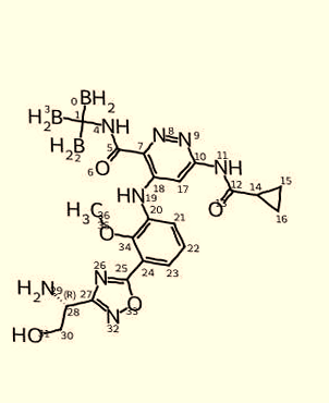 BC(B)(B)NC(=O)c1nnc(NC(=O)C2CC2)cc1Nc1cccc(-c2nc([C@@H](N)CO)no2)c1OC